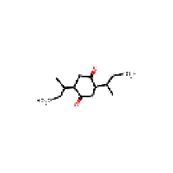 CC(CC(=O)O)C1CC(=O)C(C(C)CC(=O)O)CC1=O